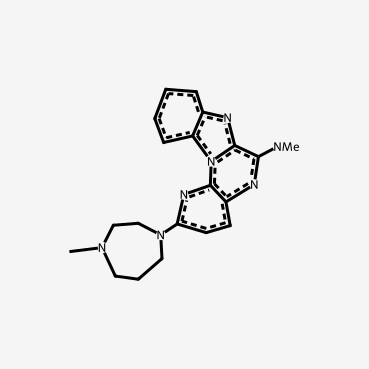 CNc1nc2ccc(N3CCCN(C)CC3)nc2n2c1nc1ccccc12